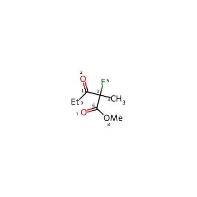 CCC(=O)C(C)(F)C(=O)OC